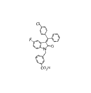 O=C(O)c1cccc(CN2C(=O)/C(=C(\c3ccccc3)c3ccc(Cl)cc3)c3cc(F)ccc32)c1